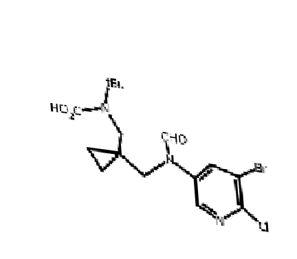 CC(C)(C)N(CC1(CN(C=O)c2cnc(Cl)c(Br)c2)CC1)C(=O)O